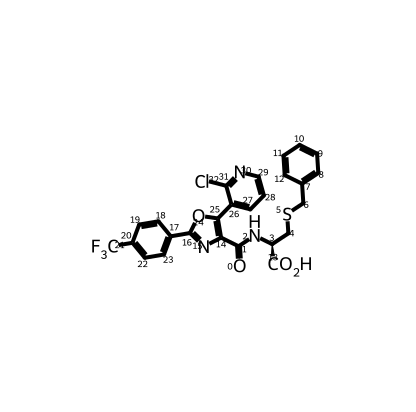 O=C(N[C@@H](CSCc1ccccc1)C(=O)O)c1nc(-c2ccc(C(F)(F)F)cc2)oc1-c1cccnc1Cl